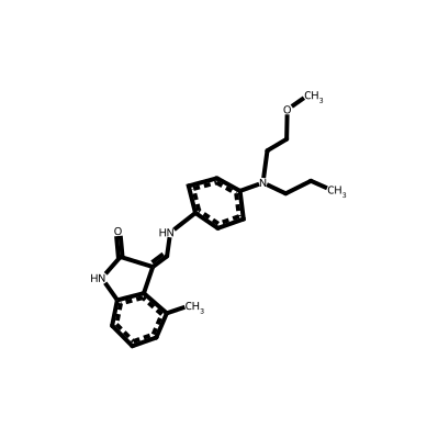 CCCN(CCOC)c1ccc(NC=C2C(=O)Nc3cccc(C)c32)cc1